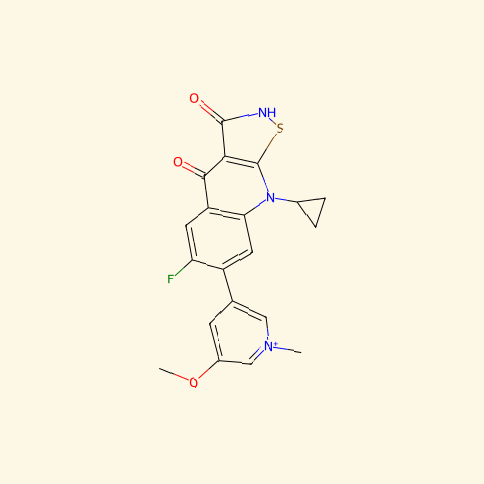 COc1cc(-c2cc3c(cc2F)c(=O)c2c(=O)[nH]sc2n3C2CC2)c[n+](C)c1